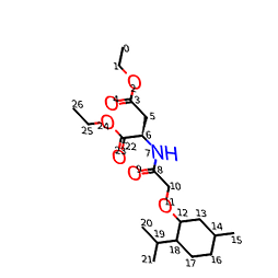 CCOC(=O)C[C@@H](NC(=O)COC1CC(C)CCC1C(C)C)C(=O)OCC